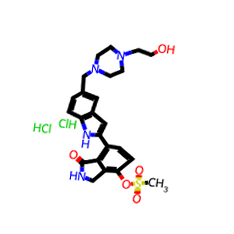 CS(=O)(=O)Oc1ccc(-c2cc3cc(CN4CCN(CCO)CC4)ccc3[nH]2)c2c1CNC2=O.Cl.Cl